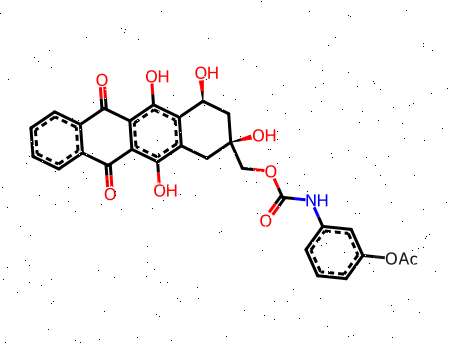 CC(=O)Oc1cccc(NC(=O)OC[C@]2(O)Cc3c(O)c4c(c(O)c3[C@@H](O)C2)C(=O)c2ccccc2C4=O)c1